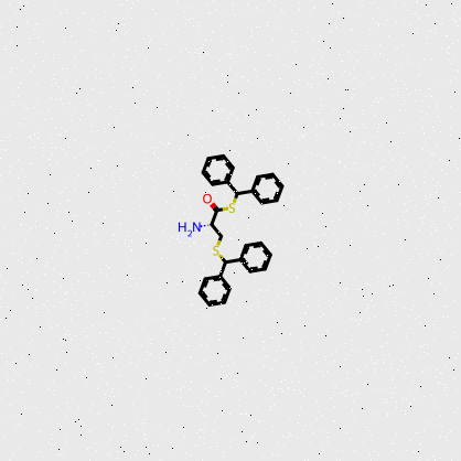 N[C@@H](CSC(c1ccccc1)c1ccccc1)C(=O)SC(c1ccccc1)c1ccccc1